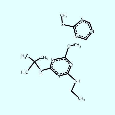 CCNc1nc(NC(C)(C)C)nc(OC)n1.CSc1ncncn1